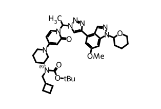 COc1cc(-c2cn(C(C)n3ccc(N4CCC[C@@H](N(CC5CCC5)C(=O)OC(C)(C)C)C4)cc3=O)nn2)c2cnn(C3CCCCO3)c2c1